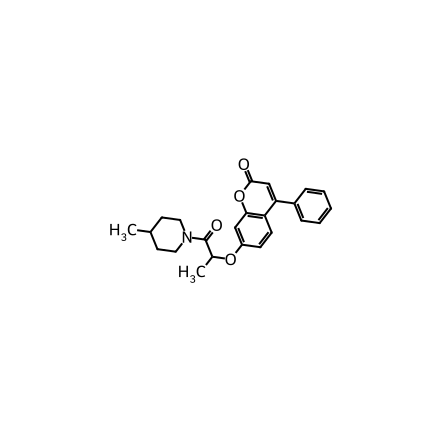 CC1CCN(C(=O)C(C)Oc2ccc3c(-c4ccccc4)cc(=O)oc3c2)CC1